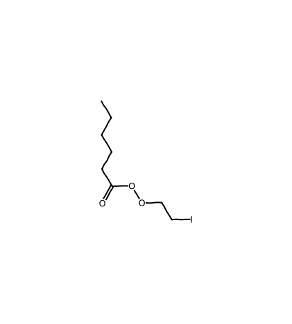 CCCCCC(=O)OOCCI